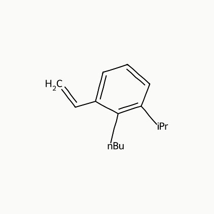 C=Cc1cccc(C(C)C)c1CCCC